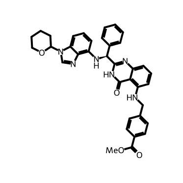 COC(=O)c1ccc(CNc2cccc3nc([C@@H](Nc4cccc5c4ncn5C4CCCCO4)c4ccccc4)[nH]c(=O)c23)cc1